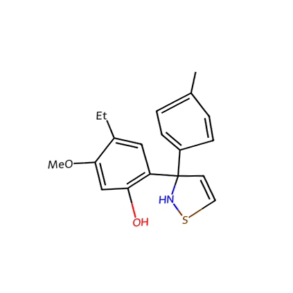 CCc1cc(C2(c3ccc(C)cc3)C=CSN2)c(O)cc1OC